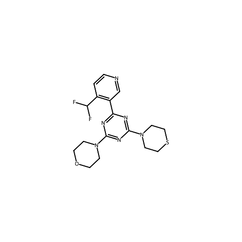 FC(F)c1ccncc1-c1nc(N2CCOCC2)nc(N2CCSCC2)n1